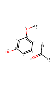 CCC(=O)CC.CCOc1cccc(O)c1